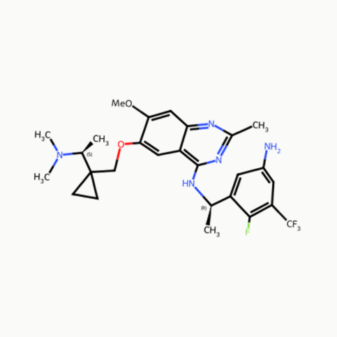 COc1cc2nc(C)nc(N[C@H](C)c3cc(N)cc(C(F)(F)F)c3F)c2cc1OCC1([C@H](C)N(C)C)CC1